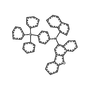 c1ccc([Si](c2ccccc2)(c2ccccc2)c2ccc(N(c3cccc4ccccc34)c3cc4c5ccccc5oc4c4ccccc34)cc2)cc1